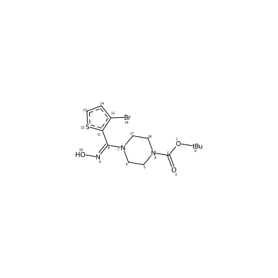 CC(C)(C)OC(=O)N1CCN(C(=NO)c2sccc2Br)CC1